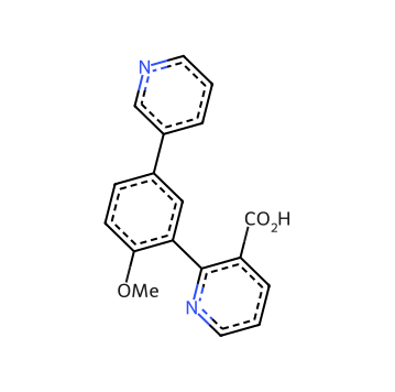 COc1ccc(-c2cccnc2)cc1-c1ncccc1C(=O)O